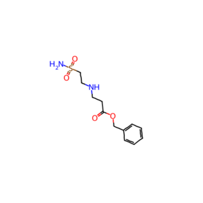 NS(=O)(=O)CCNCCC(=O)OCc1ccccc1